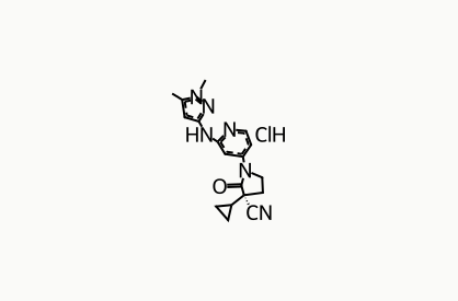 Cc1cc(Nc2cc(N3CC[C@@](C#N)(C4CC4)C3=O)ccn2)nn1C.Cl